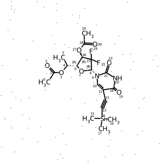 CC(=O)OC(C)[C@H]1O[C@@H](n2cc(C#C[Si](C)(C)C)c(=O)[nH]c2=O)C(F)(F)[C@@H]1OC(C)=O